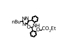 CCCCc1nnc2c(n1)OC(c1ccccc1OCC(=O)OCC)Nc1ccccc1-2